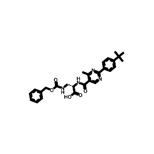 Cc1nc(-c2ccc(C(C)(C)C)cc2)ncc1C(=O)N[C@@H](CNC(=O)OCc1ccccc1)C(=O)O